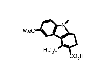 COc1ccc2c(c1)c1c(n2C)CCC(C(=O)O)=C1C(=O)O